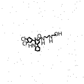 O=C(NCCCNCCO)c1cc2c([nH]c3ccccc32)c(-c2ccc(Cl)c(Cl)c2)n1